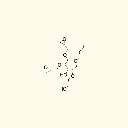 CCCCOCCOCCO.OCC(COCC1CO1)OCC1CO1